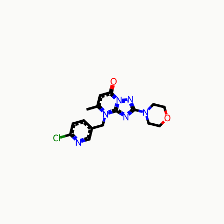 Cc1cc(=O)n2nc(N3CCOCC3)nc2n1Cc1ccc(Cl)nc1